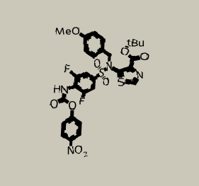 COc1ccc(CN(c2scnc2C(=O)OC(C)(C)C)S(=O)(=O)c2cc(F)c(NC(=O)Oc3ccc([N+](=O)[O-])cc3)c(F)c2)cc1